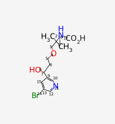 CC(C)(COCCC(O)c1cncc(Br)c1)NC(=O)O